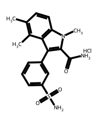 Cc1ccc2c(c1C)c(-c1cccc(S(N)(=O)=O)c1)c(C(N)=O)n2C.Cl